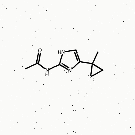 CC(=O)Nc1nc(C2(C)CC2)c[nH]1